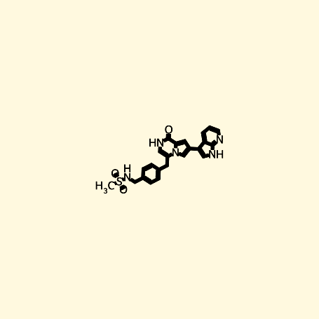 CS(=O)(=O)NCc1ccc(Cc2c[nH]c(=O)c3cc(-c4c[nH]c5ncccc45)cn23)cc1